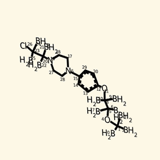 BC(B)(B)OC(B)(B)C(B)(B)Oc1ccc(N2CCN(C(B)(B)C(B)(B)Cl)CC2)cc1